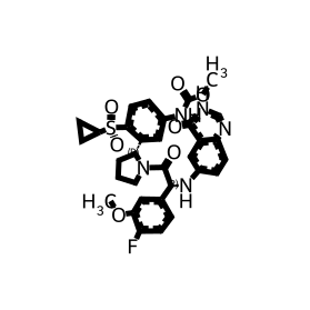 COC(=O)Nc1ccc(S(=O)(=O)C2CC2)c([C@H]2CCCN2C(=O)[C@H](Nc2ccc3nc[nH]c(=O)c3c2)c2ccc(F)c(OC)c2)c1